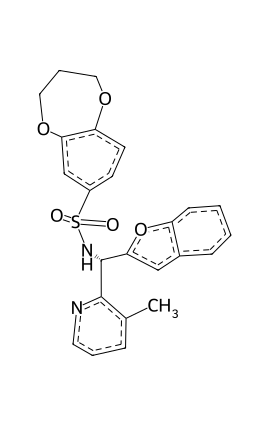 Cc1cccnc1[C@H](NS(=O)(=O)c1ccc2c(c1)OCCCO2)c1cc2ccccc2o1